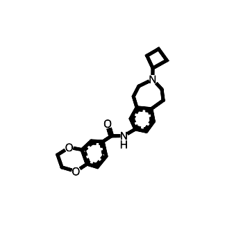 O=C(Nc1ccc2c(c1)CCN(C1CCC1)CC2)c1ccc2c(c1)OCCO2